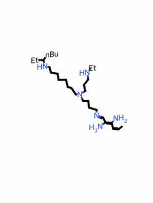 C\C=C/C(N)=C(N)/C=N/CCCCN(CCCCCCCCNC(CC)CCCC)CCCNCC